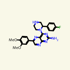 COc1ccc(-c2cnc3nc(N)nc(N4CCNCC4c4ccc(F)cc4)c3n2)cc1OC